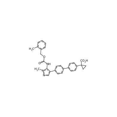 Cc1ccccc1COC(=O)Nc1c(-c2ccc(-c3ccc(C4(C(=O)O)CC4)cc3)cc2)cnn1C